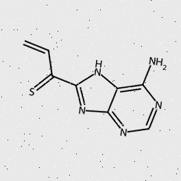 C=CC(=S)c1nc2ncnc(N)c2[nH]1